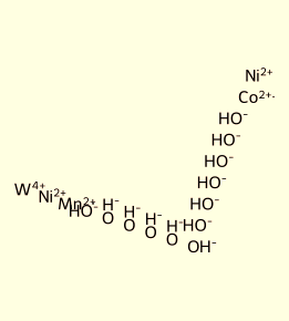 [Co+2].[Mn+2].[Ni+2].[Ni+2].[OH-].[OH-].[OH-].[OH-].[OH-].[OH-].[OH-].[OH-].[OH-].[OH-].[OH-].[OH-].[W+4]